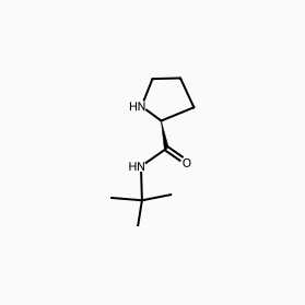 CC(C)(C)NC(=O)[C@@H]1CCCN1